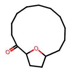 O=C1CCCCCCCCCCC2CCC1O2